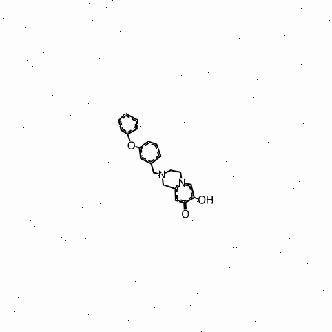 O=c1cc2n(cc1O)CCN(Cc1cccc(Oc3ccccc3)c1)C2